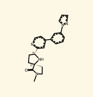 CN1CC[C@@]2(CC[C@H](c3cc(-c4cccc(-n5cccn5)c4)ccn3)N2)C1=O